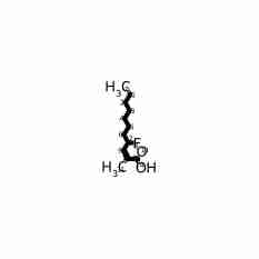 CCCCCCCC(F)C=C(C)C(=O)O